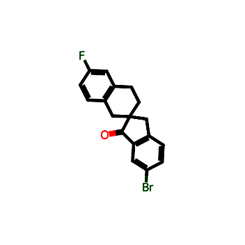 O=C1c2cc(Br)ccc2CC12CCc1cc(F)ccc1C2